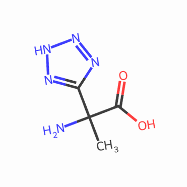 CC(N)(C(=O)O)c1nn[nH]n1